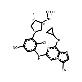 C[C@H]1CN(c2cc(C#N)cc(Nc3nc(NC4CC4)c4ncc(C#N)n4n3)c2Cl)C[C@@H]1NC(=O)O